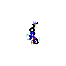 Cc1ncc(-c2ccc3cnc(NC(=O)N4[C@@H]5CC[C@H]4C[C@H](NC(CF)CF)C5)cc3c2)s1